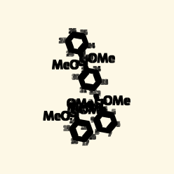 CO[Si](C)(OC)c1ccccc1.CO[Si](OC)(OC)c1ccccc1.CO[Si](OC)(c1ccccc1)c1ccccc1